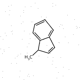 CC1[C]=Cc2ccccc21